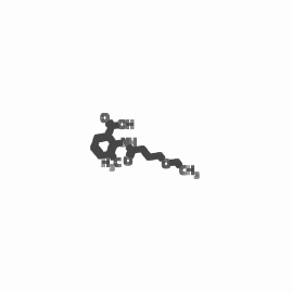 CCOCCCC(=O)Nc1c(C)cccc1C(=O)O